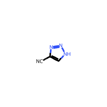 N#Cc1c[nH]nn1